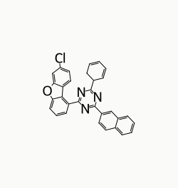 Clc1ccc2c(c1)oc1cccc(-c3nc(-c4ccc5ccccc5c4)nc(C4C=CC=CC4)n3)c12